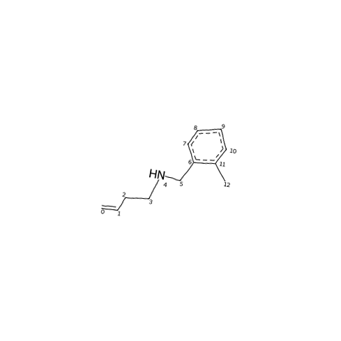 C=CCCNCc1ccccc1C